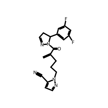 C=C(CCCn1nccc1C#N)C(=O)N1N=CCC1c1cc(F)cc(F)c1